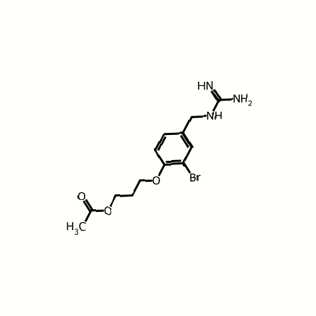 CC(=O)OCCCOc1ccc(CNC(=N)N)cc1Br